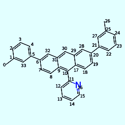 Cc1cccc(-c2ccc3c(-c4ccccn4)c4ccc(-c5cccc(C)c5)cc4cc3c2)c1